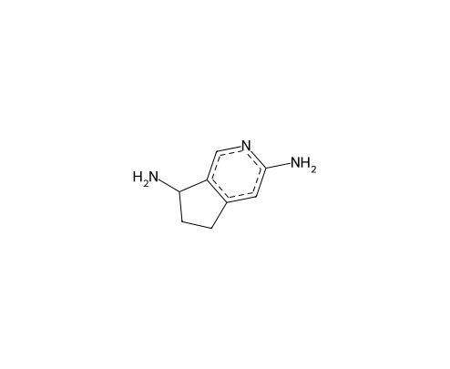 Nc1cc2c(cn1)C(N)CC2